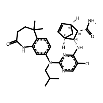 CC(C)CN(c1ccc2c(c1)NC(=O)CCC2(C)C)c1ncc(Cl)c(N[C@H]2[C@@H](C(N)=O)[C@@H]3C=C[C@H]2C3)n1